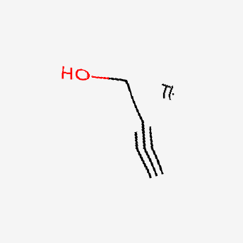 C#CCO.[Tl]